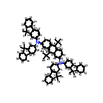 CC(C)(C)c1c2ccc(N(c3ccc4c(c3)C(C)(C)c3ccccc3-4)c3ccc4c(c3)C(C)(C)c3ccccc3-4)cc2c(C(C)(C)C)c2cc(N(c3ccc4c(c3)C(C)(C)c3ccccc3-4)C3C=CC4=C(C3)C(C)(C)c3ccccc34)ccc12